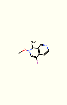 CCON1C=C(I)c2ccncc2C1C=O